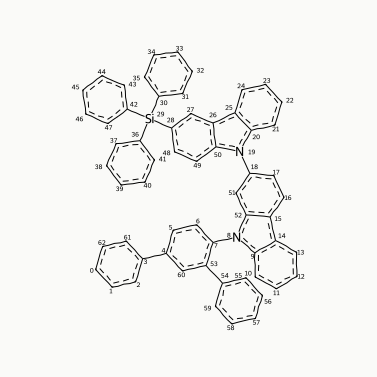 c1ccc(-c2ccc(-n3c4ccccc4c4ccc(-n5c6ccccc6c6cc([Si](c7ccccc7)(c7ccccc7)c7ccccc7)ccc65)cc43)c(-c3ccccc3)c2)cc1